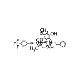 COc1cc(O)c2c3c1O[C@H]1[C@H](N(C)C(=O)C#Cc4ccc(C(F)(F)F)cc4)CC[C@H]4[C@@H](C2)N(CCc2ccccc2)CC[C@@]341